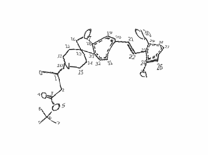 CC(CC(=O)OC(C)(C)C)N1CCC2(CC1)COc1cc(C=Cc3c(Cl)cccc3Cl)ccc12